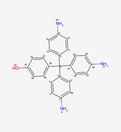 Nc1ccc(C(c2ccc(N)cc2)(c2ccc(N)cc2)c2ccc(O)cc2)cc1